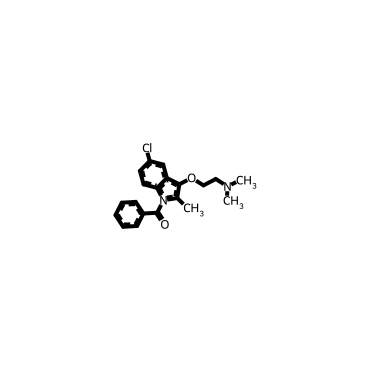 Cc1c(OCCN(C)C)c2cc(Cl)ccc2n1C(=O)c1ccccc1